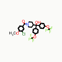 COc1ccc(C(=O)N2CCC(C(O)(c3ccc(OC(F)(F)F)cc3)c3ccc(OC(F)(F)F)cc3)CC2)cc1Cl